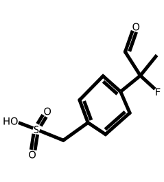 CC(F)(C=O)c1ccc(CS(=O)(=O)O)cc1